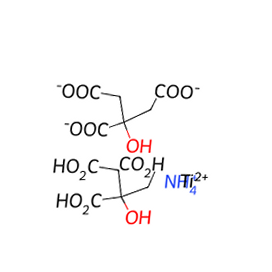 O=C(O)CC(O)(CC(=O)O)C(=O)O.O=C([O-])CC(O)(CC(=O)[O-])C(=O)[O-].[NH4+].[Ti+2]